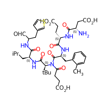 Cc1ccccc1C[C@H](NC(=O)[C@H](CCC(=O)O)NC(=O)[C@@H](N)CC(=O)O)C(=O)N(C(=O)CCC(=O)O)[C@H](C(=O)N[C@@H](CC(C)C)C(=O)NC(C=O)Cc1ccsc1)C(C)(C)C